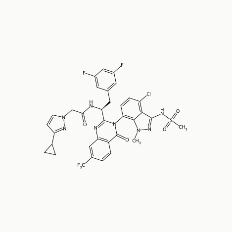 Cn1nc(NS(C)(=O)=O)c2c(Cl)ccc(-n3c([C@H](Cc4cc(F)cc(F)c4)NC(=O)Cn4ccc(C5CC5)n4)nc4cc(C(F)(F)F)ccc4c3=O)c21